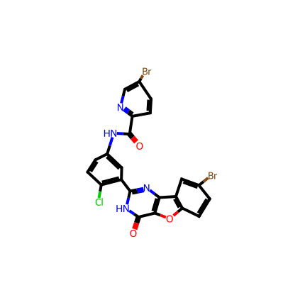 O=C(Nc1ccc(Cl)c(-c2nc3c(oc4ccc(Br)cc43)c(=O)[nH]2)c1)c1ccc(Br)cn1